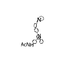 CC(=O)Nc1ccc(-c2cc(-c3ccc(OCCN4CCCCC4)cc3)nn2-c2ccccc2)cc1